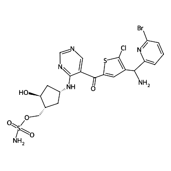 NC(c1cccc(Br)n1)c1cc(C(=O)c2cncnc2N[C@@H]2C[C@H](COS(N)(=O)=O)[C@@H](O)C2)sc1Cl